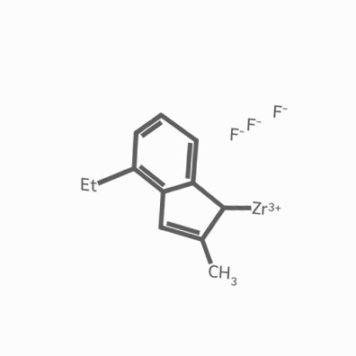 CCc1cccc2c1C=C(C)[CH]2[Zr+3].[F-].[F-].[F-]